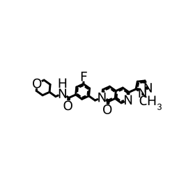 Cn1nccc1-c1cc2ccn(Cc3cc(F)cc(C(=O)NCC4CCOCC4)c3)c(=O)c2cn1